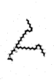 CCCCC/C=C\C/C=C\CCCCCCCCC(CCCCCCCC/C=C\C/C=C\CCCCC)OC(=O)CCCN1CC1C